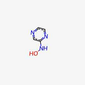 ONc1cnccn1